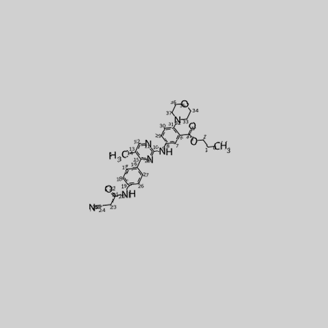 CCCOC(=O)c1cc(Nc2ncc(C)c(-c3ccc(NC(=O)CC#N)cc3)n2)ccc1N1CCOCC1